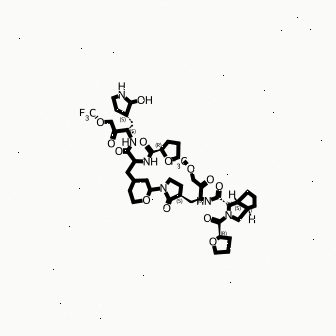 O=C(N[C@@H](C[C@@H]1CCNC1O)C(=O)COC(F)(F)F)C(CC1CCOC(N2CC[C@@H](C[C@H](NC(=O)[C@@H]3[C@H]4CCC[C@H]4CN3C(=O)[C@H]3CCCO3)C(=O)COC(F)(F)F)C2=O)C1)NC(=O)[C@H]1CCCO1